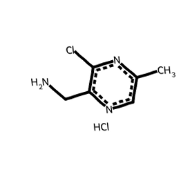 Cc1cnc(CN)c(Cl)n1.Cl